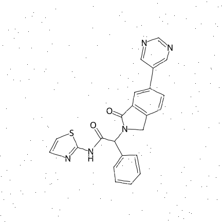 O=C(Nc1nccs1)C(c1ccccc1)N1Cc2ccc(-c3cncnc3)cc2C1=O